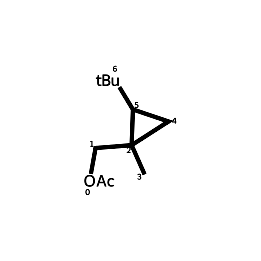 CC(=O)OCC1(C)CC1C(C)(C)C